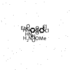 CCC(=O)Nc1ccc(S(=O)(=O)c2ccc(Cl)c(Cl)c2)cc1NC(N)=NC(=O)OC